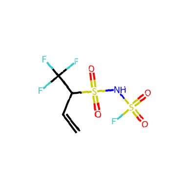 C=CC(C(F)(F)F)S(=O)(=O)NS(=O)(=O)F